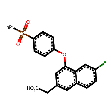 CCCS(=O)(=O)c1ccc(Oc2cc(CC(=O)O)cc3ccc(F)cc23)cc1